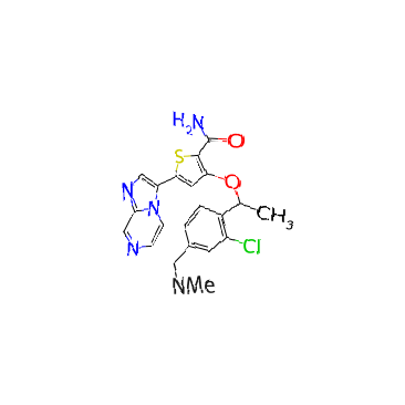 CNCc1ccc(C(C)Oc2cc(-c3cnc4cnccn34)sc2C(N)=O)c(Cl)c1